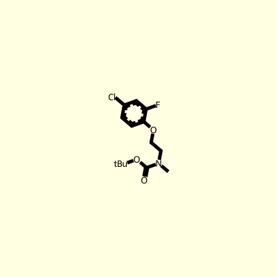 CN(CCOc1ccc(Cl)cc1F)C(=O)OC(C)(C)C